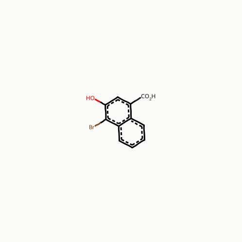 O=C(O)c1cc(O)c(Br)c2ccccc12